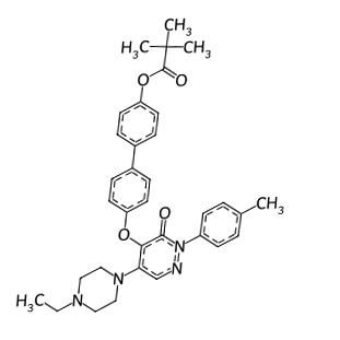 CCN1CCN(c2cnn(-c3ccc(C)cc3)c(=O)c2Oc2ccc(-c3ccc(OC(=O)C(C)(C)C)cc3)cc2)CC1